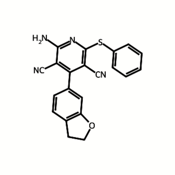 N#Cc1c(N)nc(Sc2ccccc2)c(C#N)c1-c1ccc2c(c1)OCC2